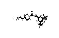 [CH2]CCN1CCN(C(=O)OCc2cc(C(F)(F)F)cc(C(F)(F)F)c2)CC1